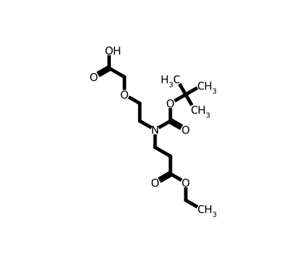 CCOC(=O)CCN(CCOCC(=O)O)C(=O)OC(C)(C)C